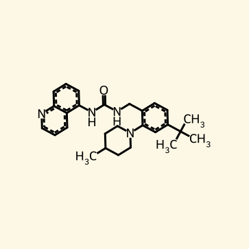 CC1CCN(c2cc(C(C)(C)C)ccc2CNC(=O)Nc2cccc3ncccc23)CC1